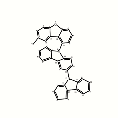 Cc1ccc2oc3cccc(-n4c5ccccc5c5cc(-n6c7ccccc7c7ccccc76)ccc54)c3c2c1